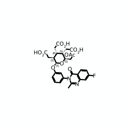 CC(=O)OC[C@H]1O[C@@H](Oc2cccc(-n3c(C)nc4cc(F)ccc4c3=O)c2)[C@@H](CC(=O)O)[C@H](CC(=O)O)[C@@H]1CC(=O)O